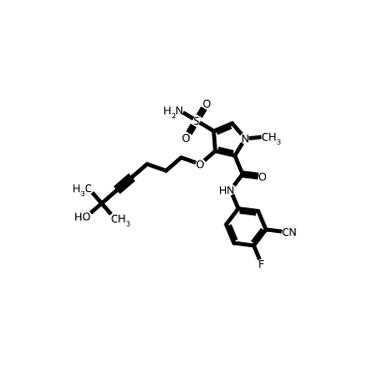 Cn1cc(S(N)(=O)=O)c(OCCCC#CC(C)(C)O)c1C(=O)Nc1ccc(F)c(C#N)c1